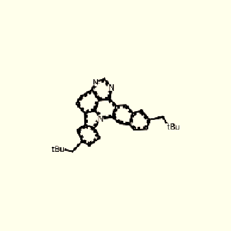 CC(C)(C)Cc1ccc2cc3c(cc2c1)c1ncnc2ccc4c5cc(CC(C)(C)C)ccc5n3c4c21